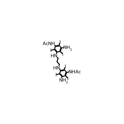 CC(=O)Nc1c(I)c(N)c(I)c(NCCCNc2c(I)c(N)c(I)c(NC(C)=O)c2I)c1I